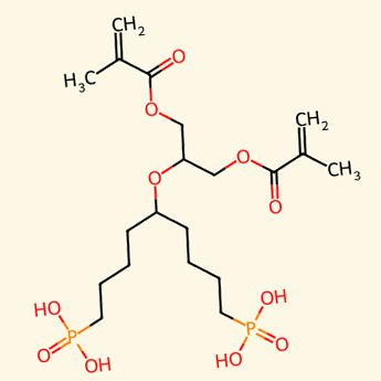 C=C(C)C(=O)OCC(COC(=O)C(=C)C)OC(CCCCP(=O)(O)O)CCCCP(=O)(O)O